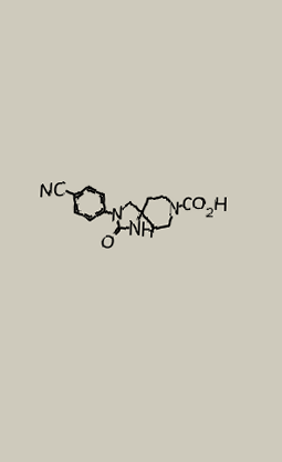 N#Cc1ccc(N2CC3(CCN(C(=O)O)CC3)NC2=O)cc1